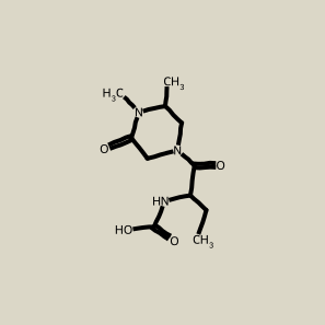 CCC(NC(=O)O)C(=O)N1CC(=O)N(C)C(C)C1